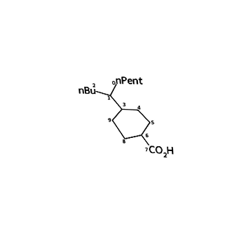 CCCCCC(CCCC)C1CCC(C(=O)O)CC1